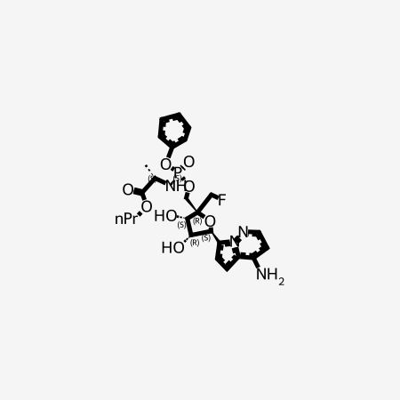 CCCOC(=O)[C@H](C)N[P@](=O)(OC[C@@]1(CF)O[C@@H](c2ccc3c(N)ccnn23)[C@H](O)[C@@H]1O)Oc1ccccc1